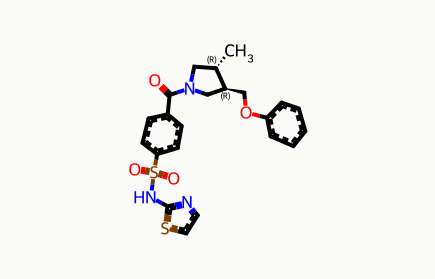 C[C@H]1CN(C(=O)c2ccc(S(=O)(=O)Nc3nccs3)cc2)C[C@@H]1COc1ccccc1